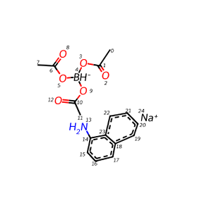 CC(=O)O[BH-](OC(C)=O)OC(C)=O.Nc1cccc2ccccc12.[Na+]